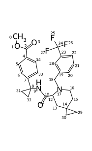 COC(=O)c1ccc(C2(NC(=O)C3CC4(CCN3Cc3cccc(C(F)(F)F)c3)CC4)CC2)cc1